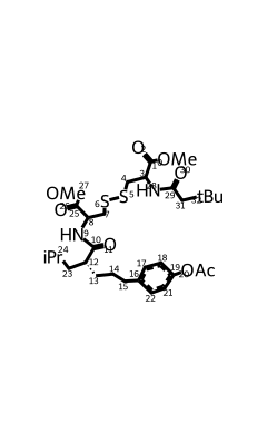 COC(=O)C(CSSCC(NC(=O)[C@H](CCCc1ccc(OC(C)=O)cc1)CC(C)C)C(=O)OC)NC(=O)CC(C)(C)C